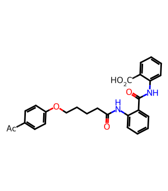 CC(=O)c1ccc(OCCCCC(=O)Nc2ccccc2C(=O)Nc2ccccc2C(=O)O)cc1